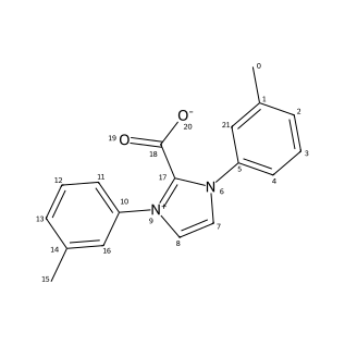 Cc1cccc(-n2cc[n+](-c3cccc(C)c3)c2C(=O)[O-])c1